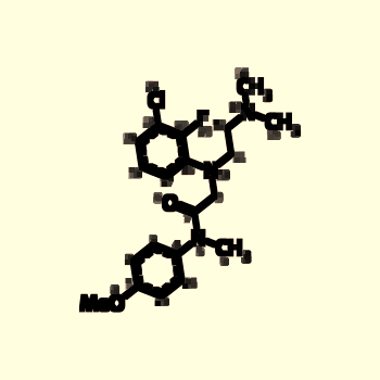 COc1ccc(N(C)C(=O)CN(CCN(C)C)c2cccc(Cl)c2F)cc1